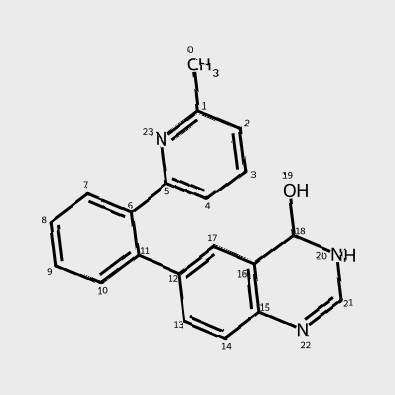 Cc1cccc(-c2ccccc2-c2ccc3c(c2)C(O)NC=N3)n1